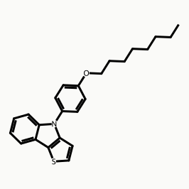 CCCCCCCCOc1ccc(-n2c3ccccc3c3sccc32)cc1